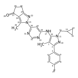 Cc1c(-c2ccc(F)cc2)nn(CC2CC2)c1Nc1cc(-n2nc3c(c2C)C(=O)CC3)ncn1